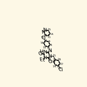 CCn1c(=O)[nH]/c(=N\c2ccc(Oc3cccnn3)cc2)n(Cc2ccc(Cl)cc2)c1=O